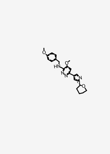 COc1ccc(CNc2nnc(-c3cnn(C4CCCCO4)c3)cc2OC)cc1